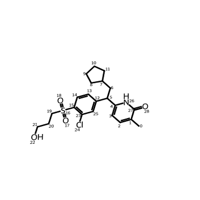 Cc1ccc(C(CC2CCCC2)c2ccc(S(=O)(=O)CCCO)c(Cl)c2)[nH]c1=O